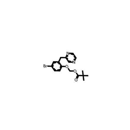 CC(C)(C)C(=O)OCOc1ccc(Br)cc1Cc1cnccn1